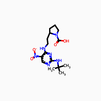 CC(C)(C)Nc1ncc([N+](=O)[O-])c(NCCC2CCCN2C(=O)O)n1